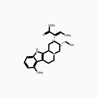 CO/C=C(/C(=O)OC)[C@H]1CC2c3[nH]c4cccc(OC)c4c3CCN2C[C@H]1CO